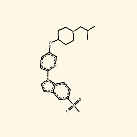 CC(C)CN1CCC(Oc2ccc(-n3ccc4cc(S(C)(=O)=O)ccc43)nc2)CC1